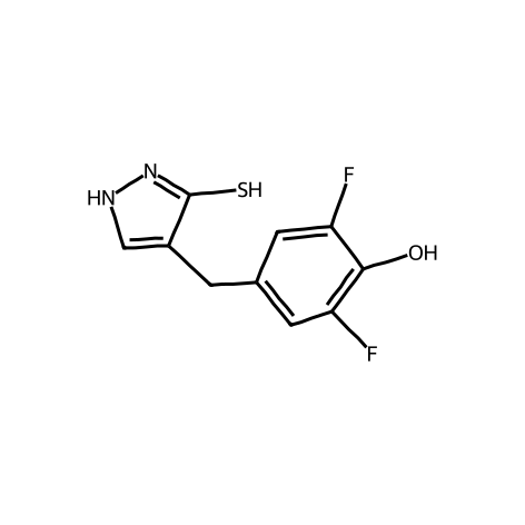 Oc1c(F)cc(Cc2c[nH]nc2S)cc1F